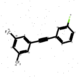 Fc1cccc(C#Cc2cc(C(F)(F)F)cc(C(F)(F)F)c2)c1